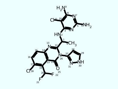 CC(Nc1nc(N)nc(N)c1Cl)c1nc2ccc(Cl)c(C(F)F)c2c(=O)n1-c1cc[nH]n1